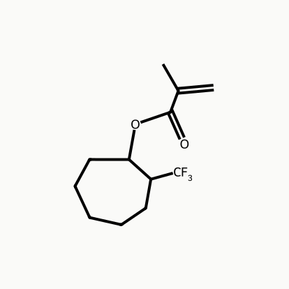 C=C(C)C(=O)OC1CCCCCC1C(F)(F)F